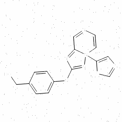 OCc1ccc(NC2=N[N+]3(c4cncs4)C=CN=CC3=N2)cc1